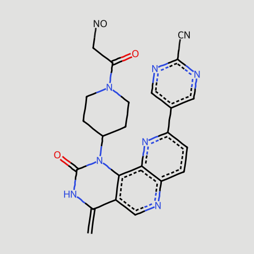 C=C1NC(=O)N(C2CCN(C(=O)CN=O)CC2)c2c1cnc1ccc(-c3cnc(C#N)nc3)nc21